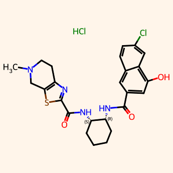 CN1CCc2nc(C(=O)N[C@H]3CCCC[C@H]3NC(=O)c3cc(O)c4cc(Cl)ccc4c3)sc2C1.Cl